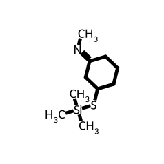 C/N=C1\CCCC(S[Si](C)(C)C)C1